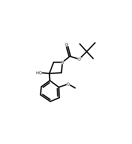 COc1ccccc1C1(O)CN(C(=O)OC(C)(C)C)C1